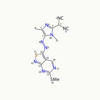 [C-]#[N+]C([N+]#[C-])c1nc(C)c(/N=N/c2snc3nc(SC)ncc23)n1C